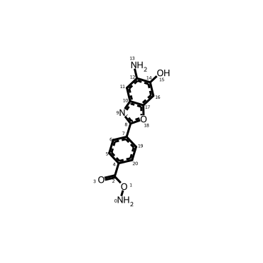 NOC(=O)c1ccc(-c2nc3cc(N)c(O)cc3o2)cc1